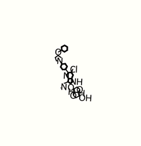 C/N=C/c1c(O[C@@H]2CO[C@H]3[C@@H]2OC[C@H]3O)[nH]c2cc(Cl)c(-c3ccc(N4CC[C@H](Oc5ccccc5)C4)cc3)nc12